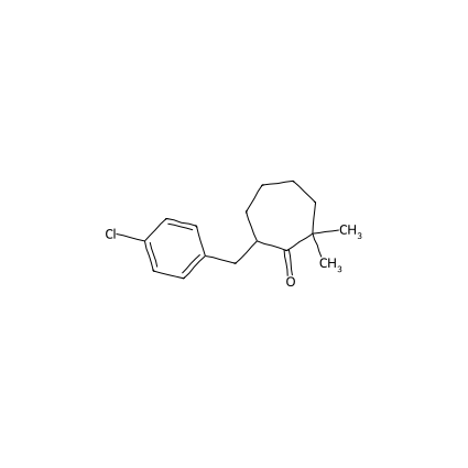 CC1(C)CCCCC(Cc2ccc(Cl)cc2)C1=O